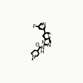 CN1CCC(C(=O)Nc2ncc3ccc(-c4cncc(F)c4)cc3n2)CC1